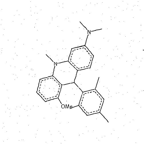 COc1cccc2c1C(c1c(C)cc(C)cc1C)c1ccc(N(C)C)cc1N2C